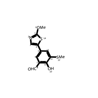 COc1ncc(-c2cc(C=O)c(O)c(SC)c2)s1